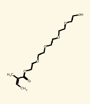 CC=C(C)C(=O)OCCOCCOCCOCCOCCO